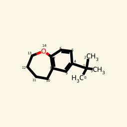 CC(C)(C)c1ccc2c(c1)CCCCO2